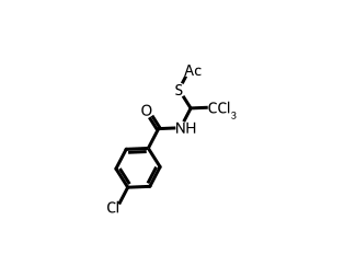 CC(=O)SC(NC(=O)c1ccc(Cl)cc1)C(Cl)(Cl)Cl